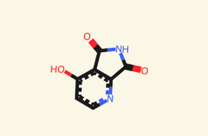 O=C1NC(=O)c2c(O)ccnc21